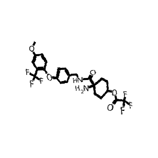 COc1ccc(Oc2ccc(CNC(=O)C3(N)CCC(OC(=O)C(F)(F)F)CC3)cc2)c(C(F)(F)F)c1